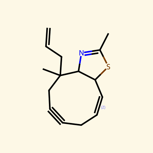 C=CCC1(C)CC#CC/C=C\C2SC(C)=NC21